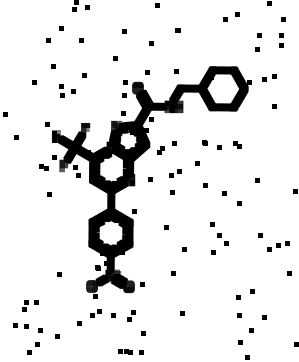 O=C(NCC1CCCCC1)c1cc2nc(-c3ccc([N+](=O)[O-])cc3)cc(C(F)(F)F)n2n1